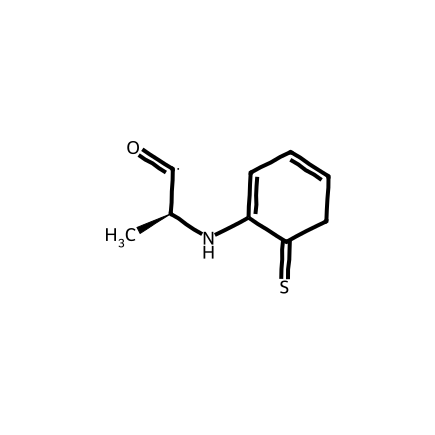 C[C@@H]([C]=O)NC1=CC=CCC1=S